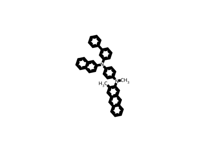 Cc1cc2cc3ccccc3cc2cc1N(C)c1ccc(N(c2cccc(-c3ccccc3)c2)c2ccc3ccccc3c2)cc1